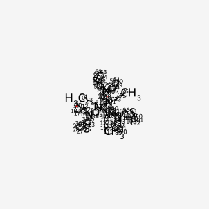 CCCCCCn1c2cc(N(c3ccc4c(c3)C=CCC4)c3ccc4sc5ccccc5c4c3)ccc2c2c1c1c3ccc(N(c4ccc5ccccc5c4)c4ccc5sc6ccccc6c5c4)cc3n(CCCCCC)c1c1c3ccc(N(c4ccc5ccccc5c4)c4ccc5sc6ccccc6c5c4)cc3n(CCCCCC)c21